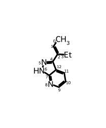 C/C=C(\CC)c1n[nH]c2ncccc12